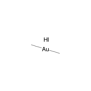 I.[CH3][Au][CH3]